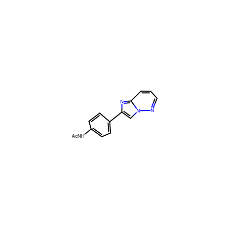 CC(=O)Nc1ccc(-c2cn3ncccc3n2)cc1